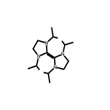 CC(C)N1CCN(C(C)C)C1=C1N(C(C)C)CCN1C(C)C